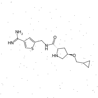 N=C(N)c1csc(CNC(=O)[C@@H]2C[C@@H](OCC3CC3)CN2)c1